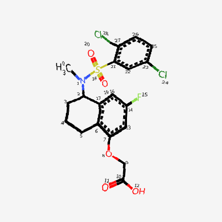 CN(C1CCCc2c(OCC(=O)O)cc(F)cc21)S(=O)(=O)c1cc(Cl)ccc1Cl